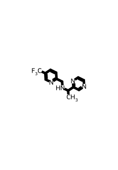 CC(NCc1ccc(C(F)(F)F)cn1)c1cnccn1